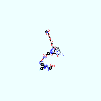 CC(C)C(NC(=O)CCOCCOCCOCCOCCN1C(=O)C=CC1=O)C(=O)NC(CCCNC(N)=O)C(=O)Nc1ccc(COC(=O)NCCOc2cnc3ccc(-c4[nH]c(CNc5cccc(C(=O)O)c5F)nc4-c4ccc(F)cc4)cc3n2)cc1